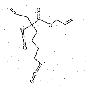 C=CCOC(=O)C(CC=C)(CCCCN=C=O)N=C=O